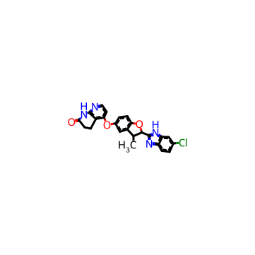 CC1c2cc(Oc3ccnc4c3CCC(=O)N4)ccc2OC1c1nc2ccc(Cl)cc2[nH]1